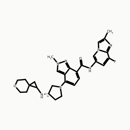 Cc1cn2cc(NC(=O)c3ccc(N4CC[C@H](NC5CC56CCOCC6)C4)c4cn(C)nc34)cc(F)c2n1